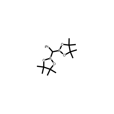 CC(C)C(B1OC(C)(C)C(C)(C)O1)B1OC(C)(C)C(C)(C)O1